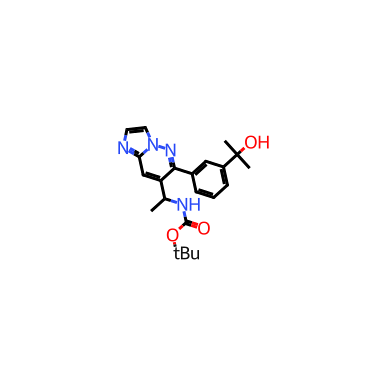 CC(NC(=O)OC(C)(C)C)c1cc2nccn2nc1-c1cccc(C(C)(C)O)c1